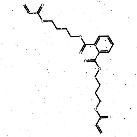 C=CC(=O)OCCCCOC(=O)c1ccccc1C(=O)OCCCCOC(=O)C=C